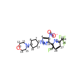 O=[N+]([O-])c1cn([C@H]2CC[C@H](N3CCOCC3)CC2)nc1-c1nc(C(F)(F)F)ccc1F